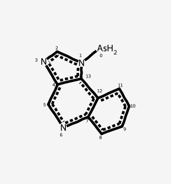 [AsH2]n1cnc2cnc3ccccc3c21